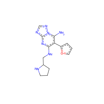 Nc1c(-c2ccco2)c(NCC2CCCN2)nc2ncnn12